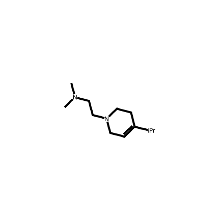 CC(C)C1=CCN(CCN(C)C)CC1